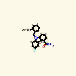 CC(=O)Nc1ccccc1Cn1c2ccc(F)[c]c2c2c(C(N)=O)cccc21